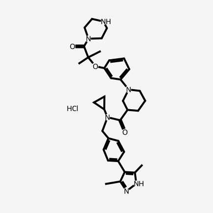 Cc1n[nH]c(C)c1-c1ccc(CN(C(=O)C2CCCN(c3cccc(OC(C)(C)C(=O)N4CCNCC4)c3)C2)C2CC2)cc1.Cl